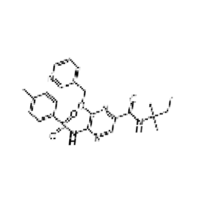 CCC(C)(C)NC(=O)c1cnc(NS(=O)(=O)c2ccc(C)cc2)c(OCc2cccnc2)n1